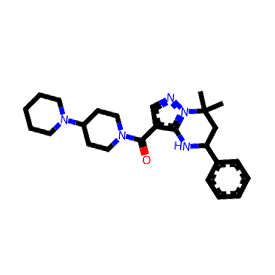 CC1(C)CC(c2ccccc2)Nc2c(C(=O)N3CCC(N4CCCCC4)CC3)cnn21